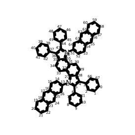 c1ccc(-c2c(-c3ccccc3)n(-c3ccc4cc5ccccc5cc4c3)c3c2ccc2c3ccc3c(-c4ccccc4)c(-c4ccccc4)n(-c4ccc5cc6ccccc6cc5c4)c32)cc1